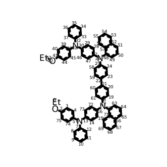 CCOc1ccc(N(c2ccccc2)c2ccc(N(c3ccc(-c4ccc(N(c5ccc(N(c6ccccc6)c6ccc(OCC)cc6)cc5)c5cccc6ccccc56)cc4)cc3)c3cccc4ccccc34)cc2)cc1